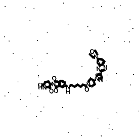 O=C1CCC(N2C(=O)c3ccc(NCCCCCC(=O)N4CCC(n5cc(-c6cnc7c(n6)=CC(N6CCOCC6)CC=7)cn5)CC4)cc3C2=O)C(=O)N1